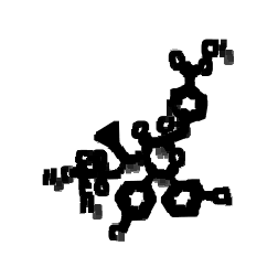 COC(=O)c1ccc(C[C@@]2(C)O[C@H](c3cccc(Cl)c3)[C@@H](c3ccc(Cl)cc3)N([C@H](CS(=O)(=O)C(C)(C)C)C3CC3)C2=O)nc1